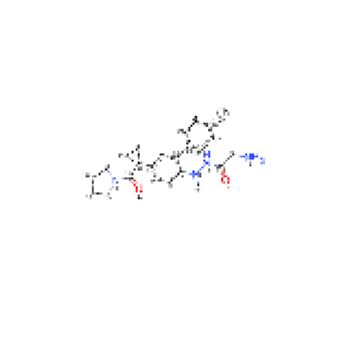 CN(NC(=O)CN)c1ccc(C2(C(=O)N3CCCC3)CC2)cc1-c1ccc(C#N)cc1